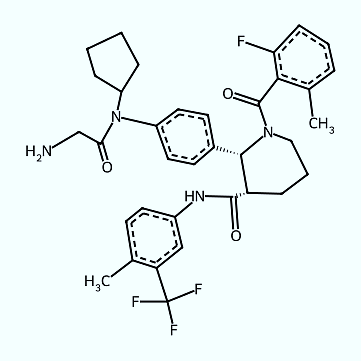 Cc1ccc(NC(=O)[C@H]2CCCN(C(=O)c3c(C)cccc3F)[C@H]2c2ccc(N(C(=O)CN)C3CCCC3)cc2)cc1C(F)(F)F